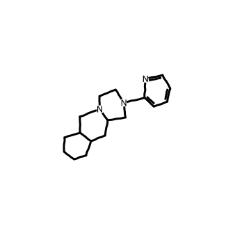 c1ccc(N2CCN3CC4CCCCC4CC3C2)nc1